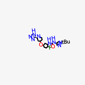 CC(C)(C)n1cc(NC(=O)Nc2cc(Oc3ccnc(-c4nnc[nH]4)c3)ccc2F)cn1